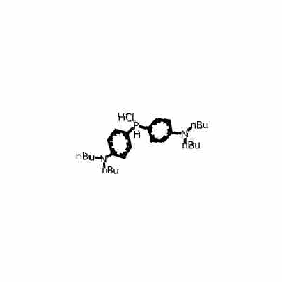 CCCCN(CCCC)c1ccc(Pc2ccc(N(CCCC)CCCC)cc2)cc1.Cl